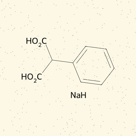 O=C(O)C(C(=O)O)c1ccccc1.[NaH]